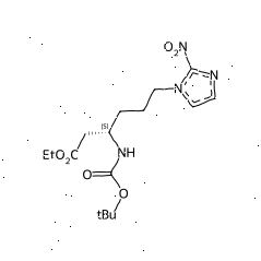 CCOC(=O)C[C@H](CCCn1ccnc1[N+](=O)[O-])NC(=O)OC(C)(C)C